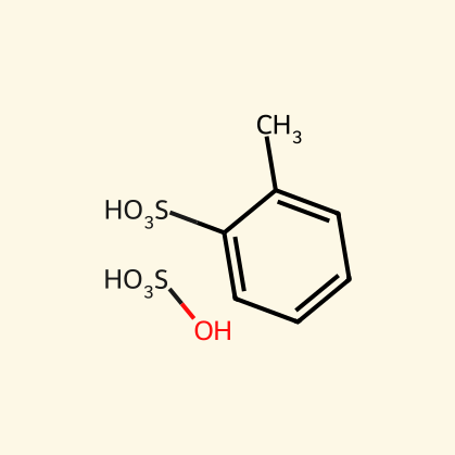 Cc1ccccc1S(=O)(=O)O.O=S(=O)(O)O